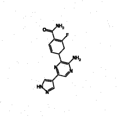 NC(=O)C1=C(F)CC(c2nc(-c3cn[nH]c3)cnc2N)C=C1